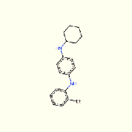 CCc1ccccc1Nc1ccc(NC2CCCCC2)cc1